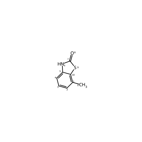 Cc1cccc2[nH]c(=O)sc12